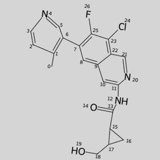 Cc1ccncc1-c1cc2cc(NC(=O)C3CC3CO)ncc2c(Cl)c1F